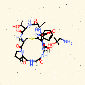 C[C@@H]1NC(=O)[C@@H]2CCCN2C(=O)[C@H]2CSc3[nH]c4c(c3C[C@H](NC1=O)C(=O)N[C@@H](CC(C)(O)CN)C(=O)N[C@@H](C)C1OC1NC([C@H](C)O)C(=O)N2)C=CCC4